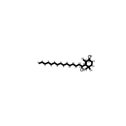 CCCCCCCCCCCCCCC(O)C1=C(C)C(=O)CCC1(C)C